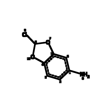 Nc1ccc2c(c1)OC(Cl)O2